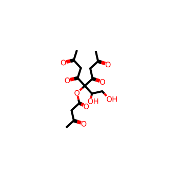 CC(=O)CC(=O)OC(C(=O)CC(C)=O)(C(=O)CC(C)=O)C(O)CO